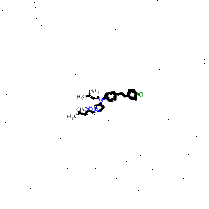 CC(C)CCN(c1ccc(CCc2ccc(Cl)cc2)cc1)C1CCN(CC(N)CC(C)C)C1